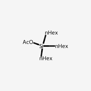 CCCCCC[Si](CCCCCC)(CCCCCC)OC(C)=O